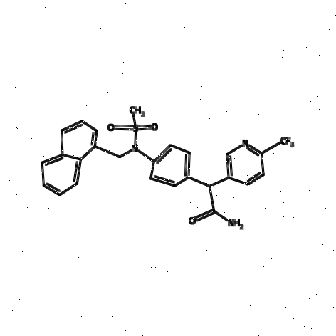 CS(=O)(=O)N(Cc1cccc2ccccc12)c1ccc(C(C(N)=O)c2ccc(C(F)(F)F)nc2)cc1